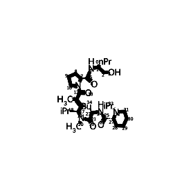 CCCC(CO)NC(=O)[C@@H]1CCCN1C(=O)/C(C)=C/[C@H](C(C)C)N(C)C(=O)[C@@H](NC(=O)[C@H]1CCCCN1C(C)C)C(C)(C)C